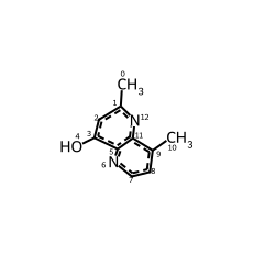 Cc1cc(O)c2nccc(C)c2n1